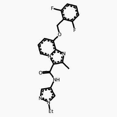 CCn1cc(NC(=O)c2c(C)nc3c(OCc4c(F)cccc4F)cccn23)cn1